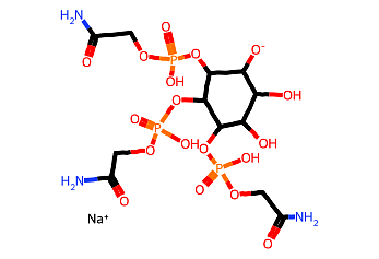 NC(=O)COP(=O)(O)OC1C([O-])C(O)C(O)C(OP(=O)(O)OCC(N)=O)C1OP(=O)(O)OCC(N)=O.[Na+]